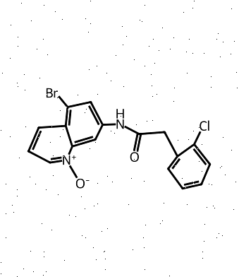 O=C(Cc1ccccc1Cl)Nc1cc(Br)c2ccc[n+]([O-])c2c1